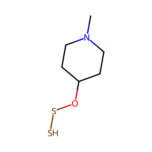 CN1CCC(OSS)CC1